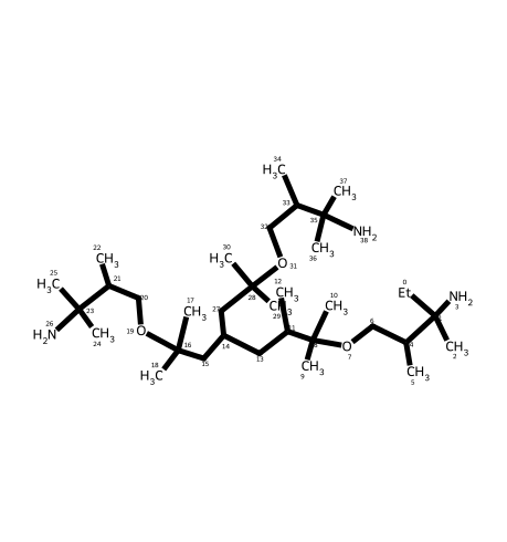 CCC(C)(N)C(C)COC(C)(C)C(C)CC(CC(C)(C)OCC(C)C(C)(C)N)CC(C)(C)OCC(C)C(C)(C)N